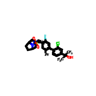 CC(C)c1cc(CN2CC3CCC(C2)N3S(C)(=O)=O)c(F)cc1-c1ccc(C(O)(C(F)(F)F)C(F)(F)F)cc1Cl